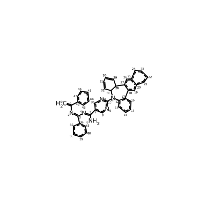 C=C(/N=C(\N=C(/N)c1cnc(N2c3ccccc3-c3cc4ccccc4cc3C3C=CC=CC32)nc1)c1ccccc1)c1ccccc1